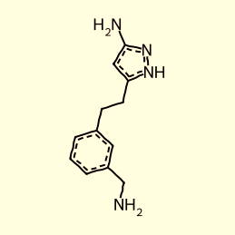 NCc1cccc(CCc2cc(N)n[nH]2)c1